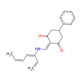 C=C/C(=C\C=C/C)NC=C1C(=O)CC(c2ccccc2)CC1=O